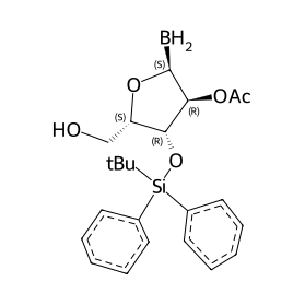 B[C@@H]1O[C@@H](CO)[C@@H](O[Si](c2ccccc2)(c2ccccc2)C(C)(C)C)[C@@H]1OC(C)=O